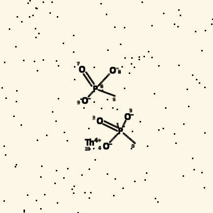 CP(=O)([O-])[O-].CP(=O)([O-])[O-].[Th+4]